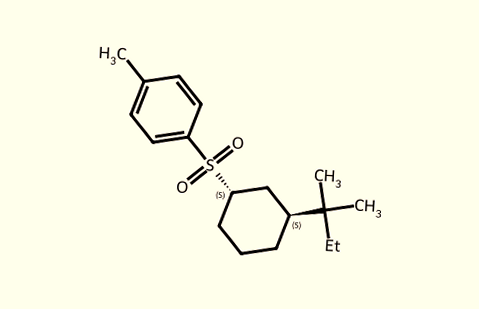 CCC(C)(C)[C@H]1CCC[C@H](S(=O)(=O)c2ccc(C)cc2)C1